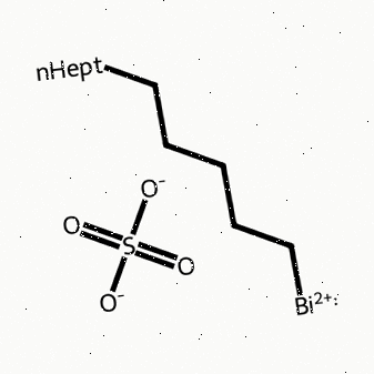 CCCCCCCCCCC[CH2][Bi+2].O=S(=O)([O-])[O-]